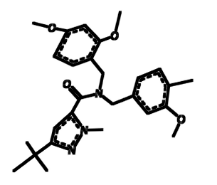 COc1ccc(CN(Cc2ccc(C)c(OC)c2)C(=O)c2cc(C(C)(C)C)nn2C)c(OC)c1